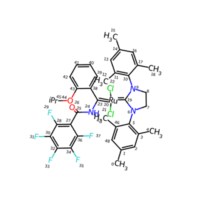 Cc1cc(C)c(N2CCN(c3c(C)cc(C)cc3C)[C]2=[Ru]([Cl])([Cl])=[C](NC(=O)c2c(F)c(F)c(F)c(F)c2F)c2ccccc2OC(C)C)c(C)c1